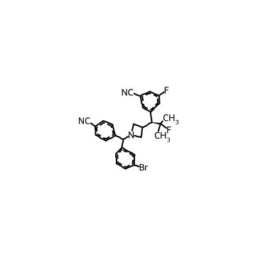 CC(C)(F)[C@H](c1cc(F)cc(C#N)c1)C1CN(C(c2ccc(C#N)cc2)c2cccc(Br)c2)C1